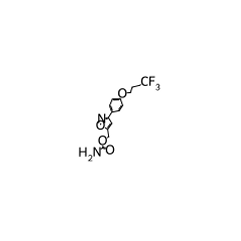 NC(=O)OCc1cc(-c2ccc(OCCCC(F)(F)F)cc2)no1